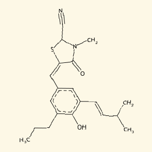 CCCc1cc(C=C2SC(C#N)N(C)C2=O)cc(C=CC(C)C)c1O